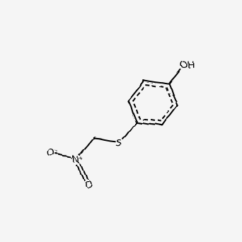 O=[N+]([O-])CSc1ccc(O)cc1